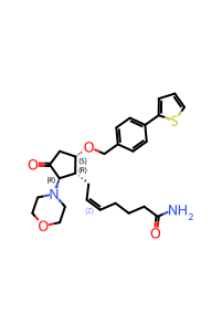 NC(=O)CCC/C=C\C[C@H]1[C@@H](OCc2ccc(-c3cccs3)cc2)CC(=O)[C@@H]1N1CCOCC1